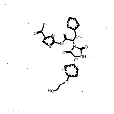 CCC(=O)c1csc(NC(=O)[C@H]([C@@H](C)c2ccccc2)N2C(=O)N[C@H](c3ccc(OCCO)cc3)C2=O)n1